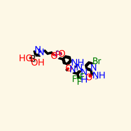 CNC(=O)c1nc(Br)ccc1Nc1nc(Nc2ccc(CP(C)(=O)OCCCn3cc(B(O)O)cn3)cc2OC)ncc1C(F)(F)F